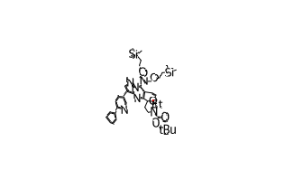 CCO/C=C\c1c(C2CCN(C(=O)OC(C)(C)C)CC2)nc2c(-c3ccc(-c4ccccc4)nc3)cnn2c1N(COCC[Si](C)(C)C)COCC[Si](C)(C)C